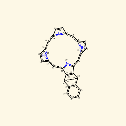 C1=Cc2cc3ccc(cc4nc(cc5ccc(cc1n2)[nH]5)C1=C4C2CCC1c1ccccc12)[nH]3